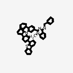 C=N/C(=N\C(=N/Cc1ccccc1)c1ccccc1)c1ccc(-c2ccccc2)c(-n2c3ccccc3c3ccc(-c4cccc5c4sc4ccccc45)cc32)c1